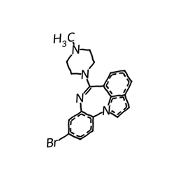 CN1CCN(C2=Nc3cc(Br)ccc3-n3ccc4cccc2c43)CC1